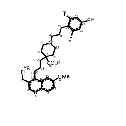 COc1ccc2ncc(CF)c([C@H](F)CCC3(C(=O)O)CCN(CCCc4c(F)cc(F)cc4F)CC3)c2c1